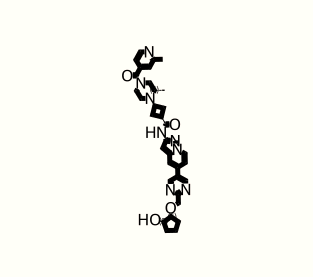 Cc1cc(C(=O)N2CCN([C@H]3C[C@@H](C(=O)Nc4cc5cc(-c6cnc(CO[C@H]7CCC[C@@H]7O)nc6)ccn5n4)C3)[C@@H](C)C2)ccn1